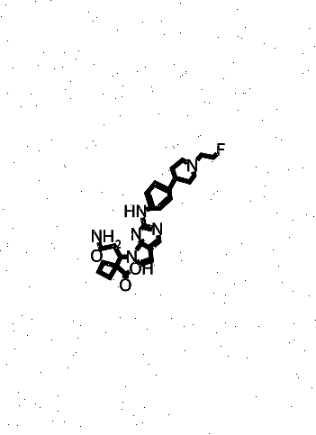 NC(=O)CC(n1ccc2cnc(Nc3ccc(C4CCN(CCF)CC4)cc3)nc21)C1(C(=O)O)CCC1